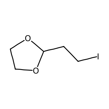 ICCC1OCCO1